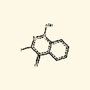 CCCCn1nc(I)c(=O)c2ccccc21